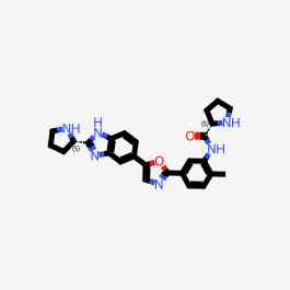 Cc1ccc(-c2ncc(-c3ccc4[nH]c([C@@H]5CCCN5)nc4c3)o2)cc1NC(=O)[C@@H]1CCCN1